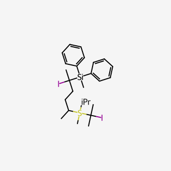 CC(C)S(C)(C(C)CCC(C)(I)[Si](C)(c1ccccc1)c1ccccc1)C(C)(C)I